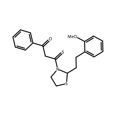 COc1ccccc1CCC1SCCN1C(=S)CC(=O)c1ccccc1